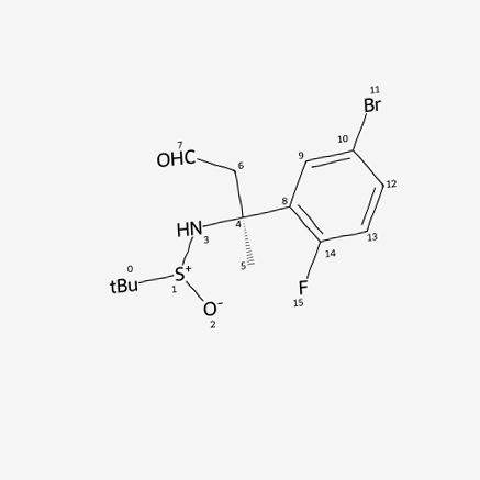 CC(C)(C)[S+]([O-])N[C@@](C)(CC=O)c1cc(Br)ccc1F